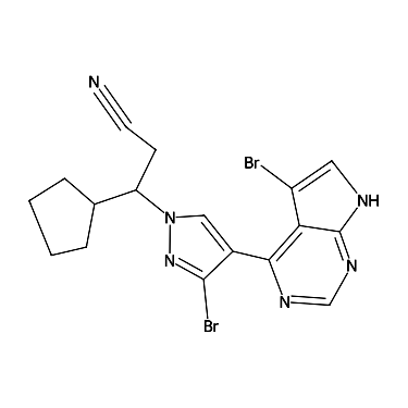 N#CCC(C1CCCC1)n1cc(-c2ncnc3[nH]cc(Br)c23)c(Br)n1